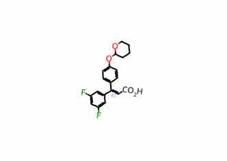 O=C(O)/C=C(\c1ccc(OC2CCCCO2)cc1)c1cc(F)cc(F)c1